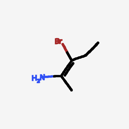 CC/C(Br)=C(\C)N